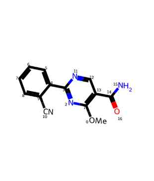 COc1nc(-c2ccccc2C#N)ncc1C(N)=O